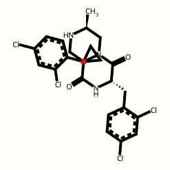 C[C@H]1CN(C(=O)[C@H](Cc2ccc(Cl)cc2Cl)NC(=O)C2(c3ccc(Cl)cc3Cl)CC2)CCN1